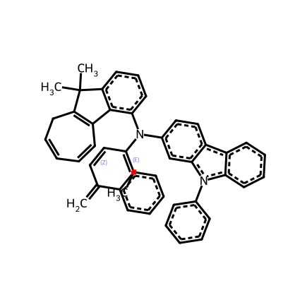 C=C(/C=C\C(=C/C)N(c1ccc2c3ccccc3n(-c3ccccc3)c2c1)c1cccc2c1C1=C(CC=CC=C1)C2(C)C)c1ccccc1